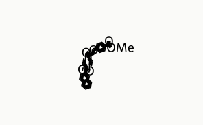 COC(=O)c1ccc(OCC(=O)N2CCN(S(=O)(=O)c3ccc4ccccc4c3)CC2)cc1